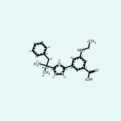 CCNc1cc(C(=O)O)cc(-c2nnc([C@](C)(N)Cc3ccccc3)o2)c1